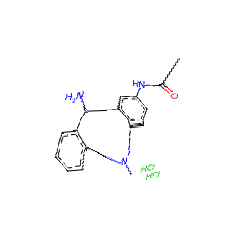 CC(=O)Nc1ccc2c(c1)C(N)c1ccccc1N2C.Cl.Cl